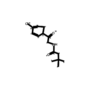 CC(C)(C)CC(=O)NCC(=O)C1C=CC(Cl)=CC1